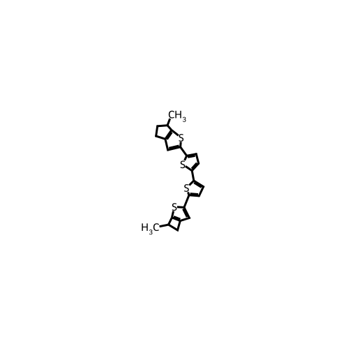 CC1CCc2cc(-c3ccc(-c4ccc(-c5cc6c(s5)C(C)C6)s4)s3)sc21